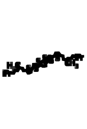 CC(C)CCCC(C)CCc1ccc(-c2cc3sc4c(ccc5c6c(sc54)CC(c4ccc(CCC(C)CCCC(C)C)s4)S6)c3s2)s1